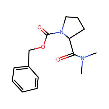 CN(C)C(=O)C1CCCN1C(=O)OCc1ccccc1